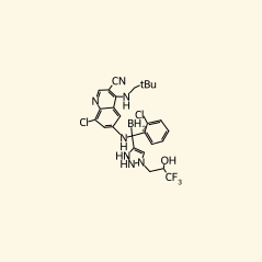 BC(Nc1cc(Cl)c2ncc(C#N)c(NCC(C)(C)C)c2c1)(C1=CN(CC(O)C(F)(F)F)NN1)c1ccccc1Cl